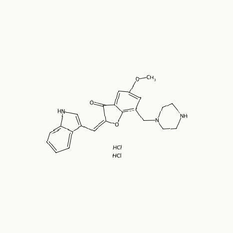 COc1cc(CN2CCNCC2)c2c(c1)C(=O)C(=Cc1c[nH]c3ccccc13)O2.Cl.Cl